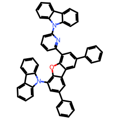 c1ccc(-c2cc(-c3cccc(-n4c5ccccc5c5ccccc54)n3)c3oc4c(-n5c6ccccc6c6ccccc65)cc(-c5ccccc5)cc4c3c2)cc1